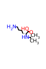 CC(C)N[C@H](CCCCN)C(=O)O